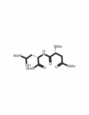 CNC(=O)C[C@@H](NC)C(=O)N[C@@H](CC(O)NC)C(=O)NC